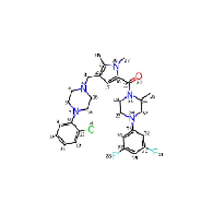 Cc1c(CN2CCN(c3ccccc3Cl)CC2)cc(C(=O)N2CCN(c3cc(F)cc(F)c3)CC2C)n1C